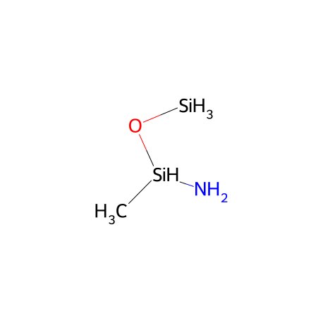 C[SiH](N)O[SiH3]